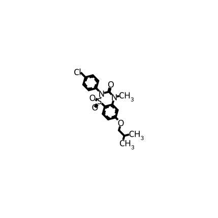 CC(C)COc1ccc2c(c1)N(C)C(=O)N(c1ccc(Cl)cc1)S2(=O)=O